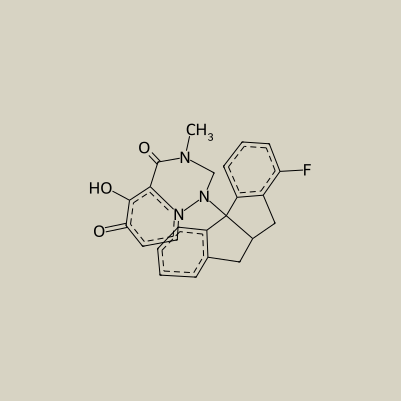 CN1CN(C23c4ccccc4CC2Cc2c(F)cccc23)n2ccc(=O)c(O)c2C1=O